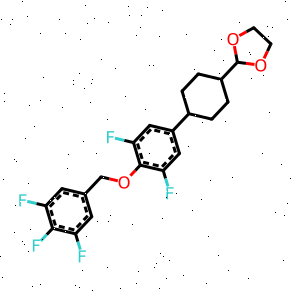 Fc1cc(COc2c(F)cc(C3CCC(C4OCCO4)CC3)cc2F)cc(F)c1F